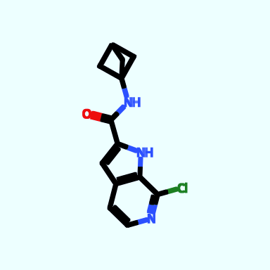 O=C(NC12CC(C1)C2)c1cc2ccnc(Cl)c2[nH]1